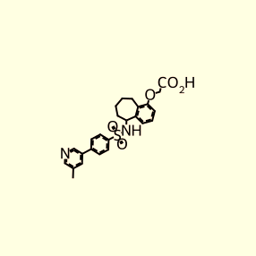 Cc1cncc(-c2ccc(S(=O)(=O)NC3CCCCc4c(OCC(=O)O)cccc43)cc2)c1